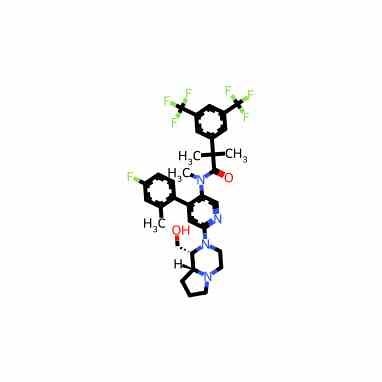 Cc1cc(F)ccc1-c1cc(N2CCN3CCC[C@@H]3[C@@H]2CO)ncc1N(C)C(=O)C(C)(C)c1cc(C(F)(F)F)cc(C(F)(F)F)c1